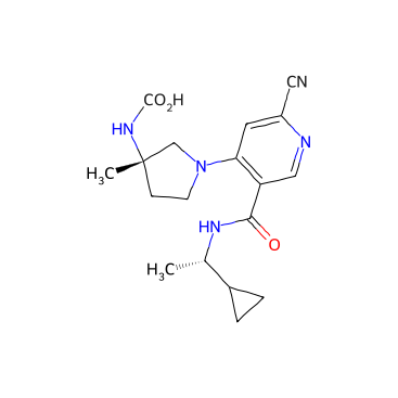 C[C@H](NC(=O)c1cnc(C#N)cc1N1CC[C@](C)(NC(=O)O)C1)C1CC1